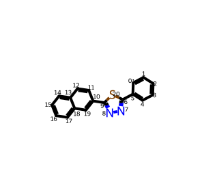 [c]1ccccc1-c1nnc(-c2ccc3ccccc3c2)s1